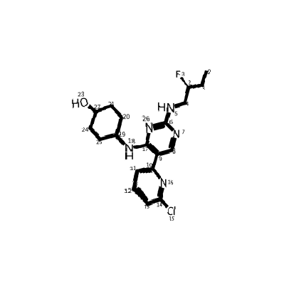 CC[C@H](F)CNc1ncc(-c2cccc(Cl)n2)c(NC2CCC(O)CC2)n1